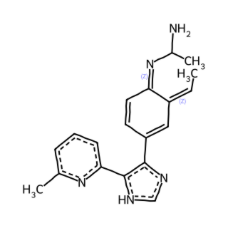 C/C=C1/C=C(c2nc[nH]c2-c2cccc(C)n2)C=C/C1=N/C(C)N